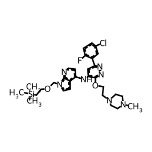 CN1CCN(CCOc2nnc(-c3cc(Cl)ccc3F)cc2Nc2ccnc3c2ccn3COCC[Si](C)(C)C)CC1